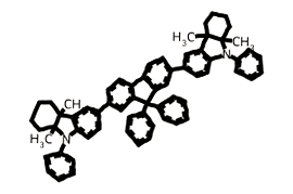 CC12CCCCC1(C)N(c1ccccc1)c1ccc(-c3ccc4c(c3)C(c3ccccc3)(c3ccccc3)c3cc(-c5ccc6c(c5)C5(C)CCCCC5(C)N6c5ccccc5)ccc3-4)cc12